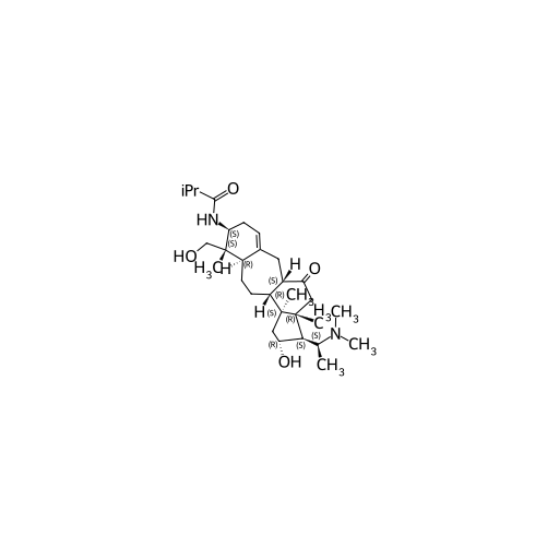 CC(C)C(=O)N[C@H]1CC=C2C[C@@H]3C(=O)C[C@]4(C)[C@@H]([C@H](C)N(C)C)[C@H](O)C[C@@]4(C)[C@@H]3CC[C@H]2[C@]1(C)CO